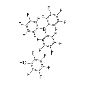 Fc1c(F)c(F)c(B(c2c(F)c(F)c(F)c(F)c2F)c2c(F)c(F)c(F)c(F)c2F)c(F)c1F.Oc1c(F)c(F)c(F)c(F)c1F